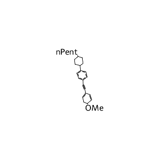 CCCCCC1CCC(c2ccc(C#CC3=CCC(OC)C=C3)cc2)CC1